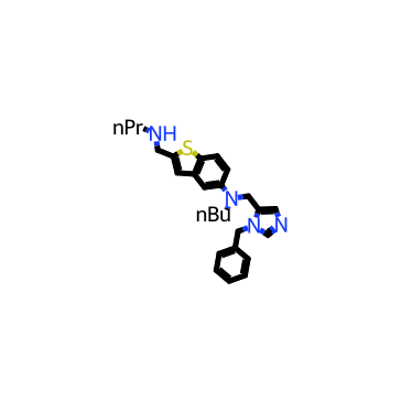 CCCCN(Cc1cncn1Cc1ccccc1)c1ccc2sc(CNCCC)cc2c1